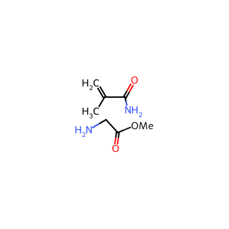 C=C(C)C(N)=O.COC(=O)CN